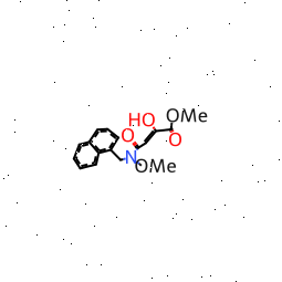 COC(=O)C(O)=CC(=O)N(Cc1cccc2ccccc12)OC